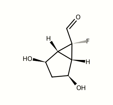 O=C[C@]1(F)[C@@H]2[C@H]1[C@@H](O)C[C@H]2O